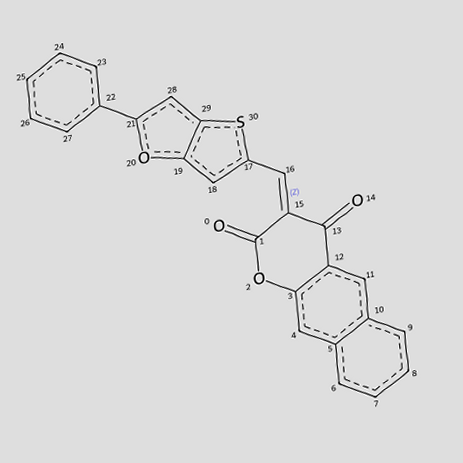 O=C1Oc2cc3ccccc3cc2C(=O)/C1=C/c1cc2oc(-c3ccccc3)cc2s1